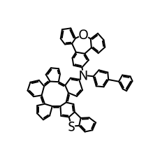 c1ccc(-c2ccc(N(c3ccc4c(c3)-c3ccccc3Oc3ccccc3-4)c3ccc4c(c3)c3ccccc3c3ccccc3c3ccccc3c3cc5sc6ccccc6c5cc43)cc2)cc1